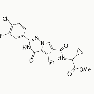 COC(=O)C(NC(=O)c1cn2nc(-c3ccc(Cl)c(F)c3)[nH]c(=O)c2c1C(C)C)C1CC1